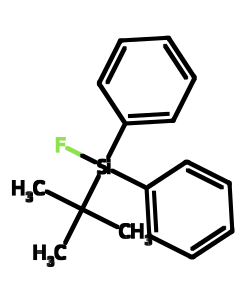 CC(C)(C)[Si](F)(c1ccccc1)c1ccccc1